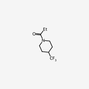 CCC(=O)N1CCC(C(F)(F)F)CC1